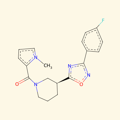 Cn1cccc1C(=O)N1CCC[C@H](c2nc(-c3ccc(F)cc3)no2)C1